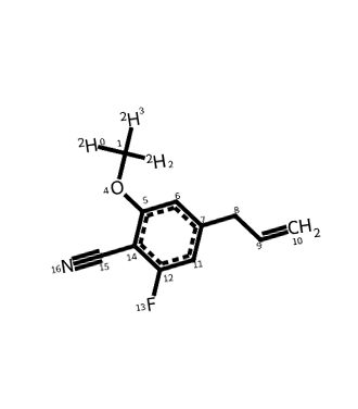 [2H]C([2H])([2H])Oc1cc(CC=C)cc(F)c1C#N